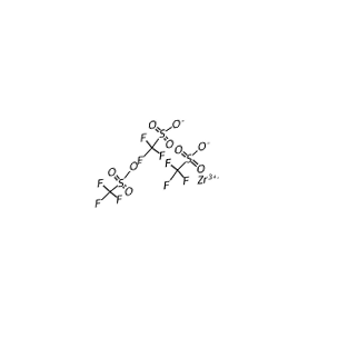 O=S(=O)([O-])C(F)(F)F.O=S(=O)([O-])C(F)(F)F.O=S(=O)([O-])C(F)(F)F.[Zr+3]